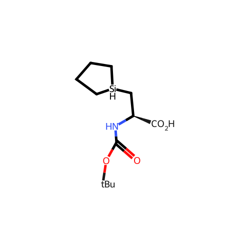 CC(C)(C)OC(=O)N[C@@H](C[SiH]1CCCC1)C(=O)O